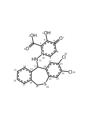 O=C(O)c1c(O)c(=O)ccn1NC1c2ccccc2CSc2cc(Cl)c(Cl)cc21